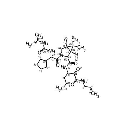 C=CCNC(=O)C(=O)C(CCC)NC(=O)[C@@H]1[C@@H]2[C@H](CN1C(=O)[C@@H](NC(=O)NC(C)C)C1CCCC1)C2(C)C